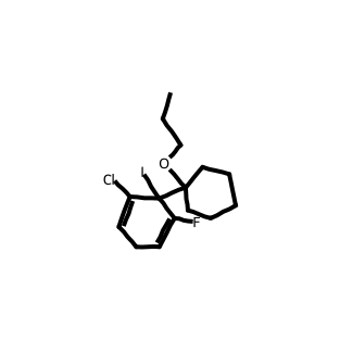 CCCOC1(C2(I)C(F)=CCC=C2Cl)CCCCC1